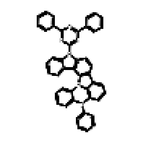 c1ccc(-c2nc(-c3ccccc3)nc(-n3c4ccccc4c4c3ccc3c5cccc6c5n(c34)-c3ccccc3N6c3ccccc3)n2)cc1